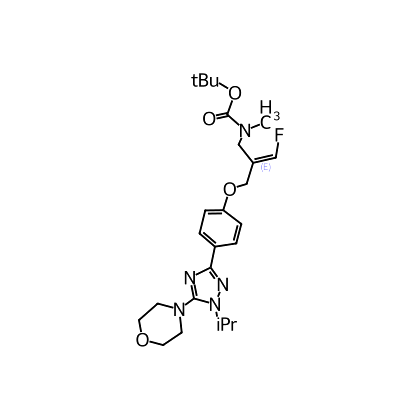 CC(C)n1nc(-c2ccc(OC/C(=C/F)CN(C)C(=O)OC(C)(C)C)cc2)nc1N1CCOCC1